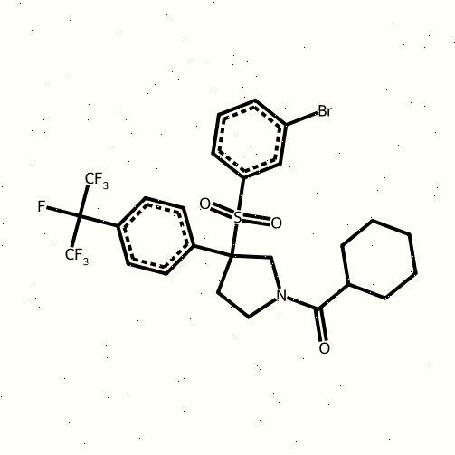 O=C(C1CCCCC1)N1CCC(c2ccc(C(F)(C(F)(F)F)C(F)(F)F)cc2)(S(=O)(=O)c2cccc(Br)c2)C1